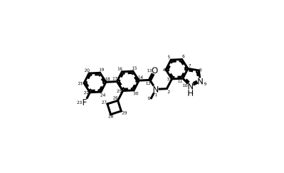 CN(Cc1cccc2cn[nH]c12)C(=O)c1ccc(-c2cccc(F)c2)c(C2CCC2)c1